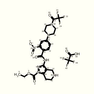 CCOC(=O)n1nc(NC(=O)c2ccc(N3CCN(C(=O)C(F)(F)F)CC3)cc2[N+](=O)[O-])c2c1CCNC2.O=C(O)C(F)(F)F